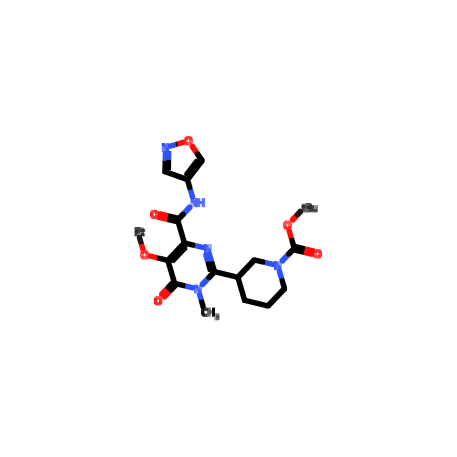 CCOc1c(C(=O)Nc2cnoc2)nc(C2CCCN(C(=O)OC(C)(C)C)C2)n(C)c1=O